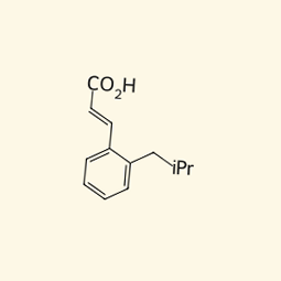 CC(C)Cc1ccccc1/C=C/C(=O)O